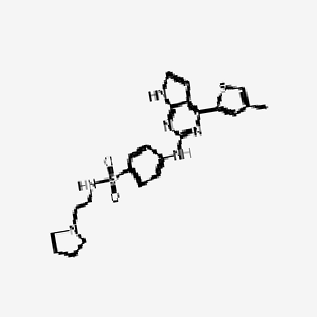 Cc1csc(-c2nc(Nc3ccc(S(=O)(=O)NCCN4CCCC4)cc3)nc3[nH]ccc23)c1